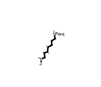 CCCCCCCCCCCCSI